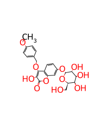 COc1ccc(COc2c(O)c(=O)oc3cc(O[C@@H]4O[C@H](CO)[C@H](O)[C@H](O)[C@H]4O)ccc23)cc1